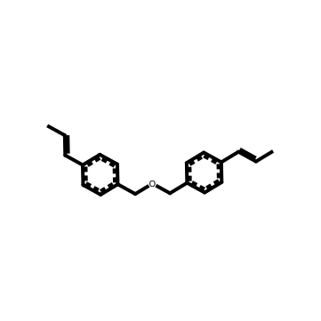 CC=Cc1ccc(COCc2ccc(C=CC)cc2)cc1